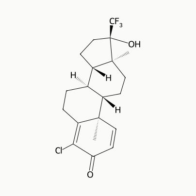 C[C@]12C=CC(=O)C(Cl)=C1CC[C@@H]1[C@@H]2CC[C@@]2(C)[C@H]1CC[C@@]2(O)C(F)(F)F